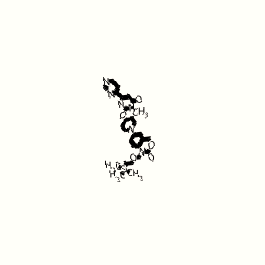 Cn1c(OC2CCN(c3ccc4c(c3)COC(=O)N4COCC[Si](C)(C)C)CC2)nc(-c2ccncn2)cc1=O